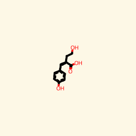 O=C(O)C(=Cc1ccc(O)cc1)CCO